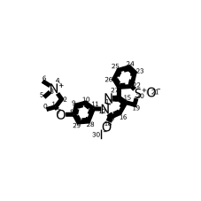 CC(C[N+](C)(C)C)Oc1ccc(-n2nc3c(cc2=O)C[S+]([O-])c2ccccc2-3)cc1.[I-]